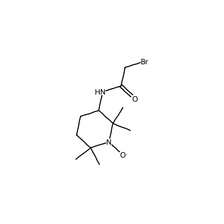 CC1(C)CCC(NC(=O)CBr)C(C)(C)N1[O]